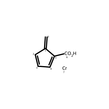 C=C1C=CC=C1C(=O)O.[Cr]